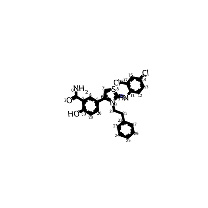 NC(=O)c1cc(-c2cs/c(=N\c3ccc(Cl)cc3Cl)n2CCc2ccccc2)ccc1O